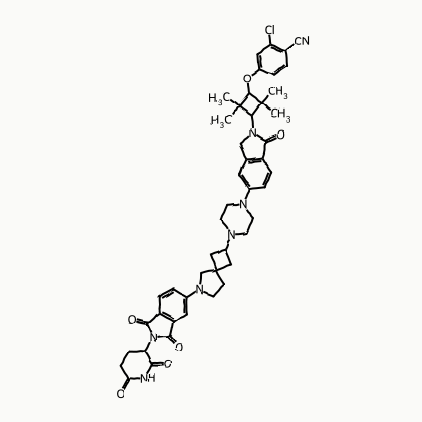 CC1(C)C(Oc2ccc(C#N)c(Cl)c2)C(C)(C)C1N1Cc2cc(N3CCN(C4CC5(CCN(c6ccc7c(c6)C(=O)N(C6CCC(=O)NC6=O)C7=O)C5)C4)CC3)ccc2C1=O